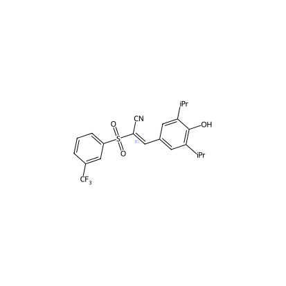 CC(C)c1cc(/C=C(\C#N)S(=O)(=O)c2cccc(C(F)(F)F)c2)cc(C(C)C)c1O